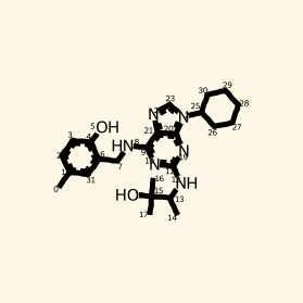 Cc1ccc(O)c(CNc2nc(NC(C)C(C)(C)O)nc3c2ncn3C2CCCCC2)c1